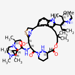 C=C/C(=C(\N=C/C)[C@H](C)OC)c1c2c3cc(ccc3n1CC)C1CSC(=N1)[C@@H](OC[C@H](C)N1CCN(C)CC1)[C@H](NC(=O)[C@H]1[C@H](C)[C@@H]1C)C(=O)N1CCC[C@H](N1)C(=O)OCC(C)(C)C2